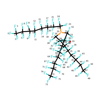 FC(F)(F)C(F)(F)C(F)(F)C(F)(F)C(F)(F)C(F)(F)C(F)(F)C(F)(F)P(C(F)(F)C(F)(F)C(F)(F)C(F)(F)C(F)(F)C(F)(F)C(F)(F)C(F)(F)F)C(F)(F)C(F)(F)C(F)(F)C(F)(F)C(F)(F)C(F)(F)C(F)(F)C(F)(F)F